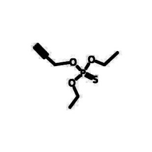 C#CCOP(=S)(OCC)OCC